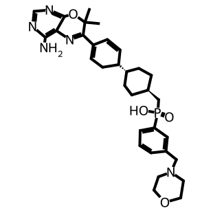 CC1(C)Oc2ncnc(N)c2N=C1C1=CCC([C@H]2CC[C@H](CP(=O)(O)c3cccc(CN4CCOCC4)c3)CC2)C=C1